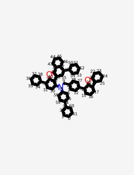 c1ccc(-c2ccc(N(Cc3ccc(-c4cccc5c4oc4ccccc45)cc3)c3ccc(-c4ccccc4)c4oc5c6ccccc6c(-c6ccccc6)cc5c34)cc2)cc1